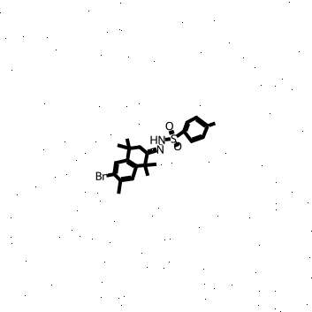 Cc1ccc(S(=O)(=O)NN=C2CC(C)(C)c3cc(Br)c(C)cc3C2(C)C)cc1